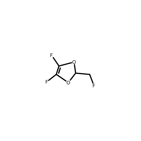 FCC1OC(F)=C(F)O1